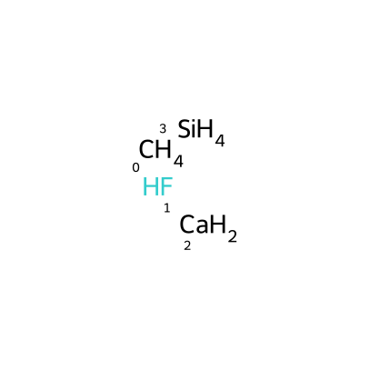 C.F.[CaH2].[SiH4]